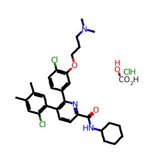 Cc1cc(Cl)c(-c2ccc(C(=O)NC3CCCCC3)nc2-c2ccc(Cl)c(OCCCN(C)C)c2)cc1C.Cl.O=C(O)O